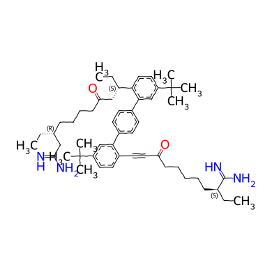 CC[C@H](CCCCC(=O)C[C@H](CC)c1ccc(C(C)(C)C)cc1-c1ccc(-c2cc(C(C)(C)C)ccc2C#CC(=O)CCCCC[C@H](CC)C(=N)N)cc1)CC(=N)N